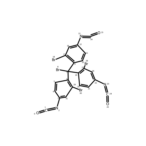 O=C=Nc1ccc(C(Br)(c2ccc(N=C=O)cc2Br)c2ccc(N=C=O)cc2Br)c(Br)c1